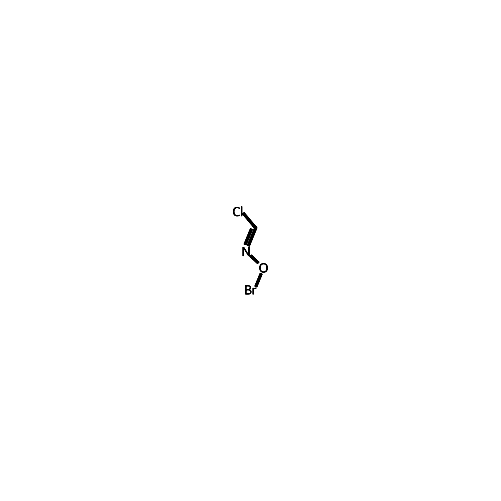 Cl/C=N/OBr